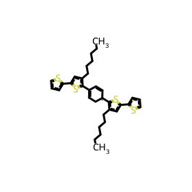 CCCCCCc1cc(-c2cccs2)sc1[C]1C=CC(c2sc(-c3cccs3)cc2CCCCCC)=CC1